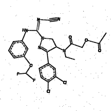 CCN(C(=O)COC(C)=O)C1CN(/C(=N\C#N)Nc2cccc(OC(F)F)c2)N=C1c1ccc(Cl)c(Cl)c1